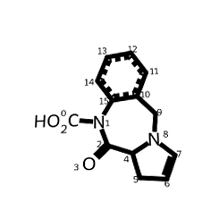 O=C(O)N1C(=O)C2CC=CN2Cc2ccccc21